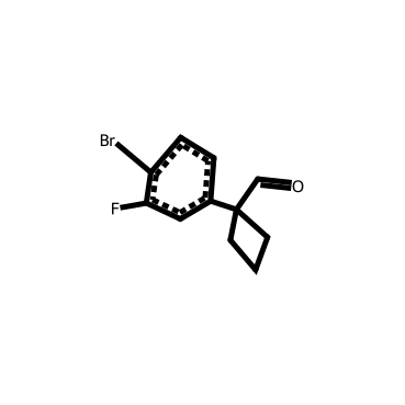 O=CC1(c2ccc(Br)c(F)c2)CCC1